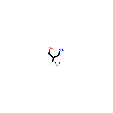 NCC(CO)C(=O)O